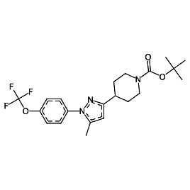 Cc1cc(C2CCN(C(=O)OC(C)(C)C)CC2)nn1-c1ccc(OC(F)(F)F)cc1